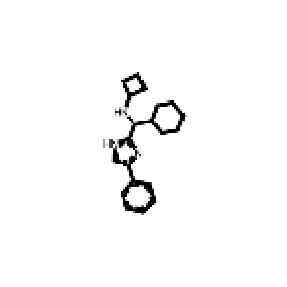 c1ccc(-c2c[nH]c([C@@H](NC3CCC3)C3CCCCC3)n2)cc1